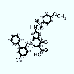 COc1ccc(S(=O)(=O)Nc2nc3c(=O)c(C(=O)O)cn(Cc4ccc(Cl)cc4-c4ccccc4)c3s2)cc1